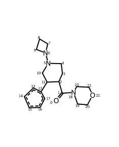 O=C(C1CCN(N2CCC2)CC1c1ccccc1)N1CCOCC1